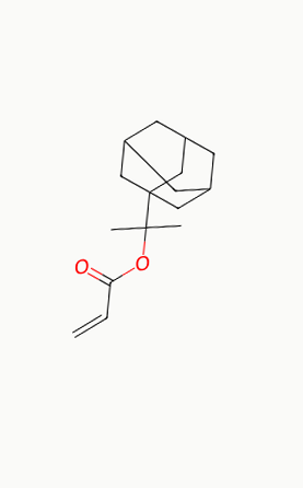 C=CC(=O)OC(C)(C)C12CC3CC(CC(C3)C1)C2